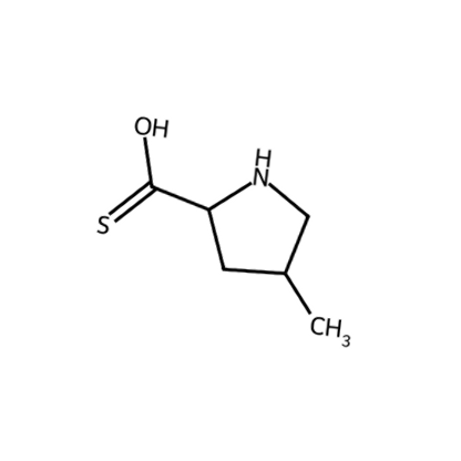 CC1CNC(C(O)=S)C1